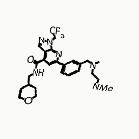 CNCCN(C)Cc1cccc(-c2cc(C(=O)NCC3CCOCC3)c3cnn(CC(F)(F)F)c3n2)c1